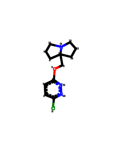 Clc1ccc(OCC23CCCN2CCC3)nn1